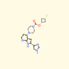 Cn1cnc(-c2cc3c(N4CCN(C(=O)O[C@H]5C[C@@H](F)C5)CC4)ccnc3[nH]2)c1